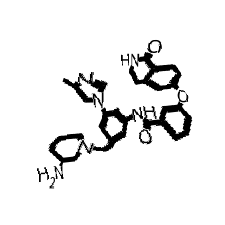 Cc1cn(-c2cc(CN3CCC[C@H](N)C3)cc(NC(=O)c3cccc(Oc4ccc5c(=O)[nH]ccc5c4)c3)c2)cn1